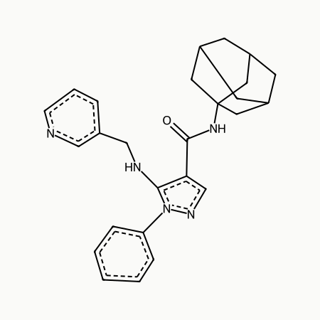 O=C(NC12CC3CC(CC(C3)C1)C2)c1cnn(-c2ccccc2)c1NCc1cccnc1